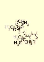 CO[Si](CCC(c1ccccc1)[N+](C)(C)C)(OC)OC